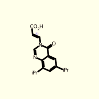 CC(C)c1cc(C(C)C)c2ncn(/C=C/C(=O)O)c(=O)c2c1